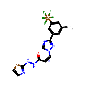 O=C(/C=C\n1cnc(-c2cc(C(F)(F)F)cc(S(F)(F)(F)(F)F)c2)n1)NNc1nccs1